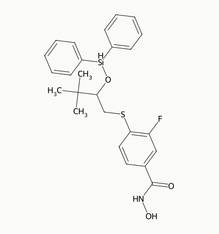 CC(C)(C)C(CSc1ccc(C(=O)NO)cc1F)O[SiH](c1ccccc1)c1ccccc1